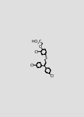 O=C(O)COc1ccc(SCC=C(c2ccc(Cl)cc2)c2ccc(Cl)cc2)cc1Cl